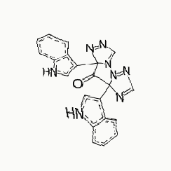 O=C(C1(c2c[nH]c3ccccc23)N=CN=N1)C1(c2c[nH]c3ccccc23)N=CN=N1